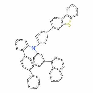 c1ccc(-c2ccc(-c3ccccc3N(c3ccc(-c4ccc5c(c4)sc4ccccc45)cc3)c3cccc(-c4cccc5ccccc45)c3)cc2)cc1